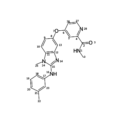 CNC(=O)c1cc(Oc2ccc3c(c2)nc(Nc2cccc(C)c2)n3C)ccn1